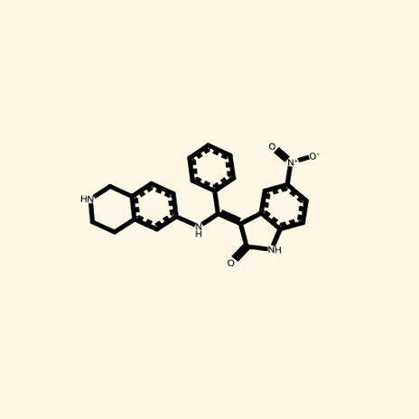 O=C1Nc2ccc([N+](=O)[O-])cc2C1=C(Nc1ccc2c(c1)CCNC2)c1ccccc1